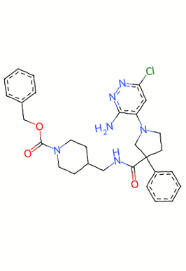 Nc1nnc(Cl)cc1N1CCC(C(=O)NCC2CCN(C(=O)OCc3ccccc3)CC2)(c2ccccc2)C1